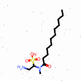 CCCCCCCCCCCC(=O)N(C)C(CN)S(=O)(=O)O